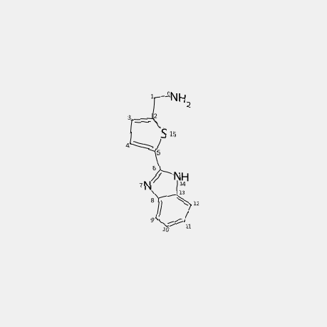 NCc1ccc(-c2nc3ccccc3[nH]2)s1